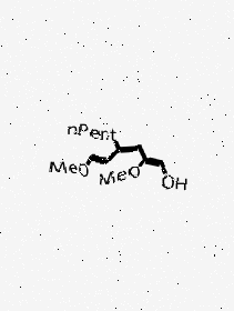 CCCCCC(=C/C(=C/O)OC)/C=C/OC